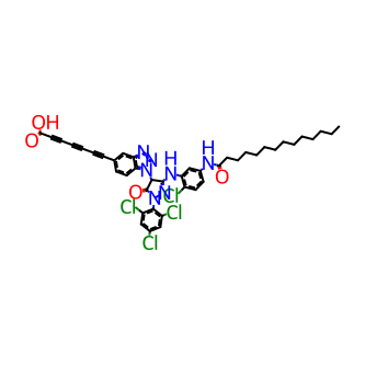 CCCCCCCCCCCCCC(=O)Nc1ccc(Cl)c(NC2=NN(c3c(Cl)cc(Cl)cc3Cl)C(=O)C2n2nnc3cc(C#CC#CC#CC(=O)O)ccc32)c1